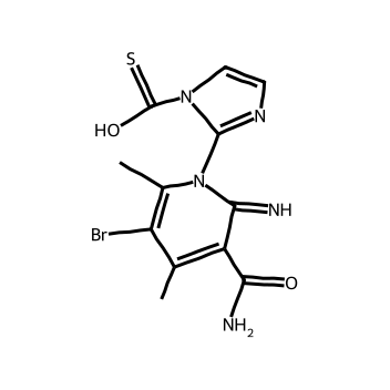 Cc1c(Br)c(C)n(-c2nccn2C(O)=S)c(=N)c1C(N)=O